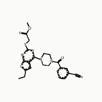 CCc1cc2c(N3CCN(C(=O)c4cccc(C#N)c4)CC3)nc(SCC(=O)OC)nc2s1